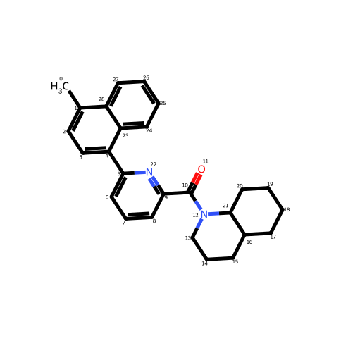 Cc1ccc(-c2cccc(C(=O)N3CCCC4CCCCC43)n2)c2ccccc12